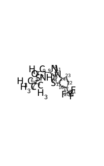 C[C@H](N[S@@+]([O-])C(C)(C)C)c1ncn2c1sc1cc(C(F)(F)F)ccc12